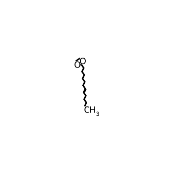 CCCCCC=CCCCCCCC1OCCO1